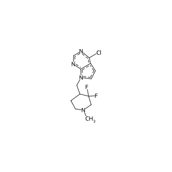 CN1CCC(Cn2ccc3c(Cl)ncnc32)C(F)(F)C1